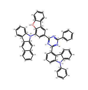 c1ccc(-c2nc(-c3cc(-n4c5ccccc5c5cc6ccccc6cc54)c4oc5ccccc5c4c3)nc(-c3cccc4c3c3ccccc3n4-c3ccccc3)n2)cc1